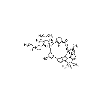 C=CC(=O)N1CC[C@H](C(=O)N(C)[C@H](C(=O)N[C@H]2Cc3cc(O)cc(c3)-c3ccc4c(c3)c(c(-c3cc(CN(C)C)cnc3C(C)C)n4CC)CC(C)(C)COC(=O)[C@@H]3CCCN(N3)C2=O)C(C)C)C1